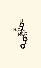 C/C(=C\c1ccc(Cl)cc1)S(=O)(=O)NC(=O)N1CCC(Cc2ccccc2)CC1